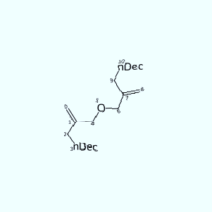 C=C(CCCCCCCCCCC)COCC(=C)CCCCCCCCCCC